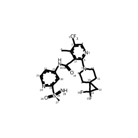 Cc1c(C(F)(F)F)cnc(N2CCC3(CC2)CC3(F)F)c1C(=O)Nc1ccnc([S@](C)(=N)=O)c1